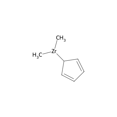 [CH3][Zr]([CH3])[CH]1C=CC=C1